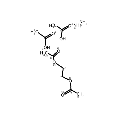 CC(=O)O.CC(=O)O.CC(=O)OCCOC(C)=O.N.N